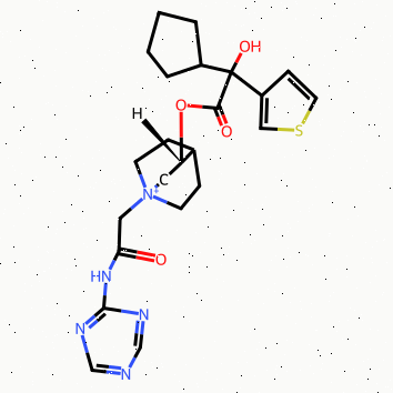 O=C(C[N+]12CCC(CC1)[C@@H](OC(=O)C(O)(c1ccsc1)C1CCCC1)C2)Nc1ncncn1